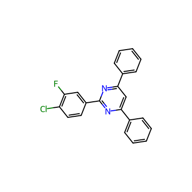 Fc1cc(-c2nc(-c3ccccc3)cc(-c3ccccc3)n2)ccc1Cl